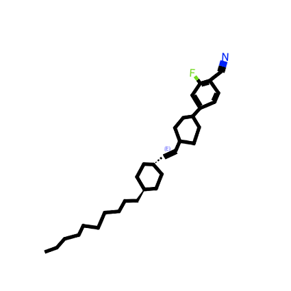 CCCCCCCCCC[C@H]1CC[C@H](/C=C/C2CCC(c3ccc(C#N)c(F)c3)CC2)CC1